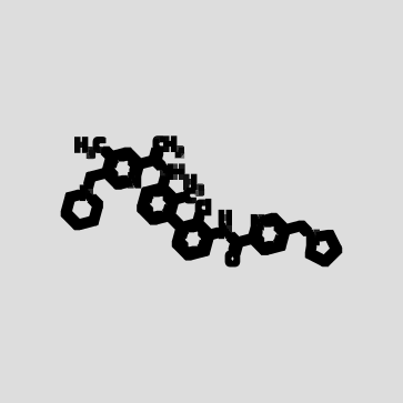 C=C(Nc1cccc(-c2cccc(NC(=O)c3ccc(CN4CCCC4)cn3)c2Cl)c1C)c1cc(C)c(CN2CCCCC2)cn1